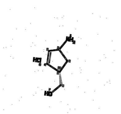 Cl.NC1C=C[C@@H](CO)C1